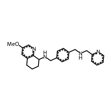 COc1cnc2c(c1)CCCC2NCc1ccc(CNCc2ccccn2)cc1